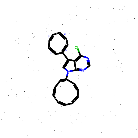 Clc1ncnc2c1c(C1=C/C=C\C=C/C=C\1)cn2-c1ccccccccc1